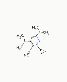 C#Cc1c(C(C)C)cc(C(C)C)nc1C1CC1